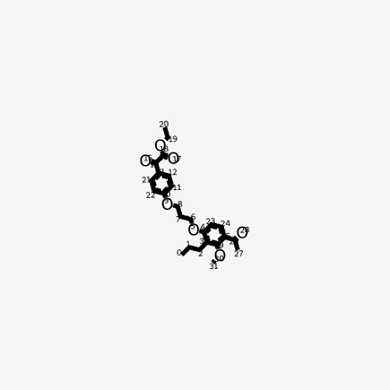 CCCc1c(OCCCOc2ccc(C(=O)C(=O)OCC)cc2)ccc(C(C)=O)c1OC